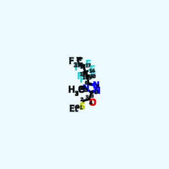 CCSCC(=O)c1nnc(C(F)(F)C(F)(F)C(F)(F)C(F)(F)F)n1C